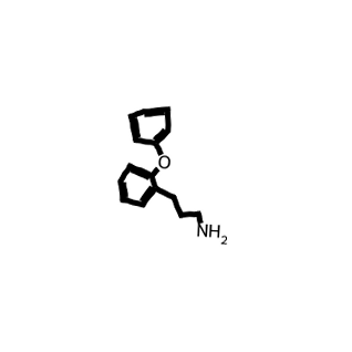 NCCCc1ccccc1Oc1ccccc1